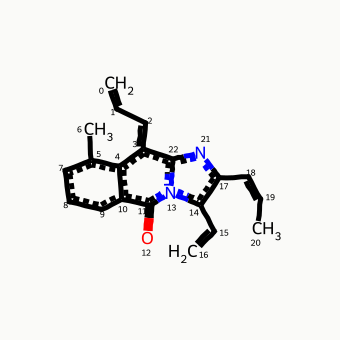 C=C/C=c1\c2c(C)cccc2c(=O)n2c(C=C)c(/C=C\C)nc12